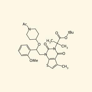 COc1ccccc1C(Cn1c(=O)n(C(C)(C)C(=O)OC(C)(C)C)c(=O)c2c(C)csc21)OC1CCN(C(C)=O)CC1